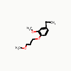 CCc1ccc(OCCCOC)c(OC)c1